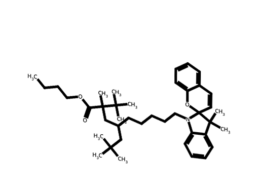 CCCCOC(=O)C(C)(CC(CCCCCN1c2ccccc2C(C)(C)C12C=Cc1ccccc1O2)CC(C)(C)C)C(C)(C)C